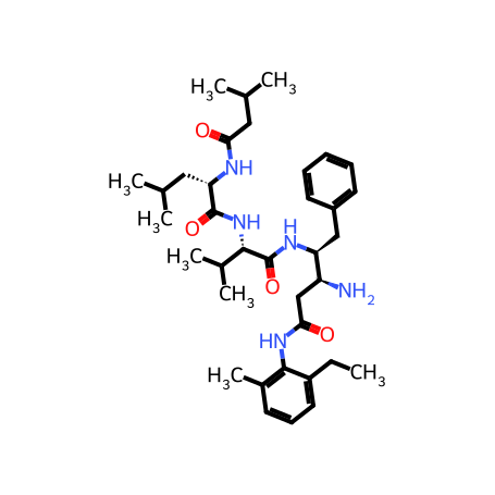 CCc1cccc(C)c1NC(=O)C[C@H](N)[C@H](Cc1ccccc1)NC(=O)[C@@H](NC(=O)[C@H](CC(C)C)NC(=O)CC(C)C)C(C)C